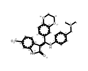 CN(C)Cc1ccc(N/C(=C2\C(=O)Nc3cc([N+](=O)[O-])ccc32)c2ccc3c(c2)OCCO3)cc1